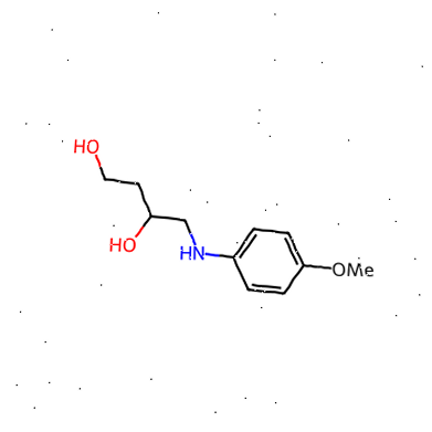 COc1ccc(NCC(O)CCO)cc1